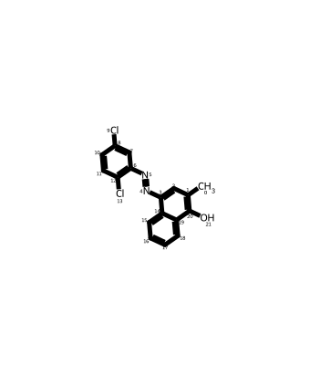 Cc1cc(/N=N/c2cc(Cl)ccc2Cl)c2ccccc2c1O